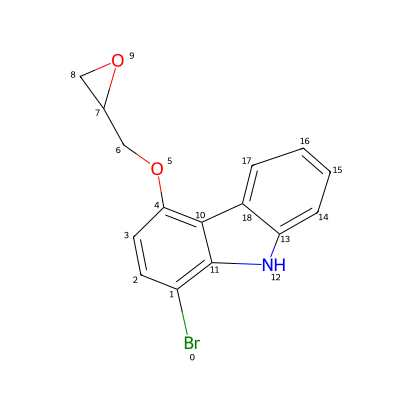 Brc1ccc(OCC2CO2)c2c1[nH]c1ccccc12